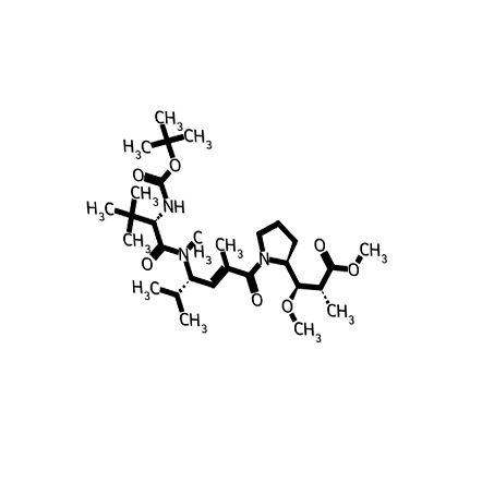 COC(=O)[C@H](C)[C@@H](OC)[C@@H]1CCCN1C(=O)/C(C)=C/[C@H](C(C)C)N(C)C(=O)[C@@H](NC(=O)OC(C)(C)C)C(C)(C)C